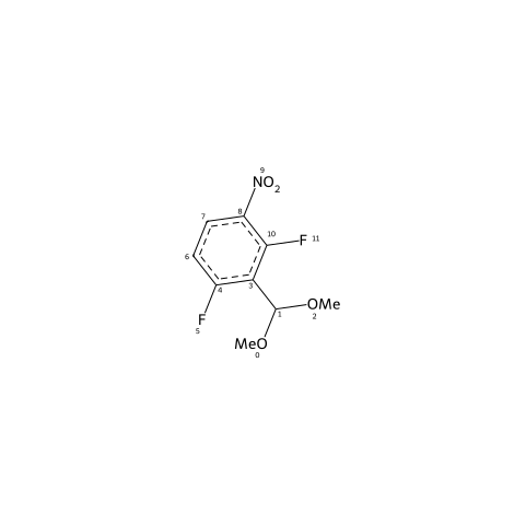 COC(OC)c1c(F)ccc([N+](=O)[O-])c1F